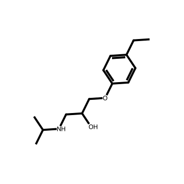 CCc1ccc(OCC(O)CNC(C)C)cc1